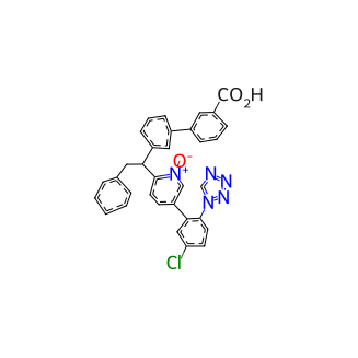 O=C(O)c1cccc(-c2cccc(C(Cc3ccccc3)c3ccc(-c4cc(Cl)ccc4-n4cnnn4)c[n+]3[O-])c2)c1